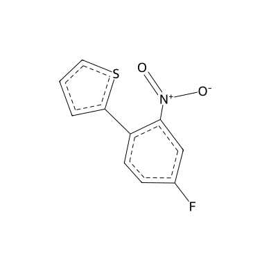 O=[N+]([O-])c1cc(F)ccc1-c1cccs1